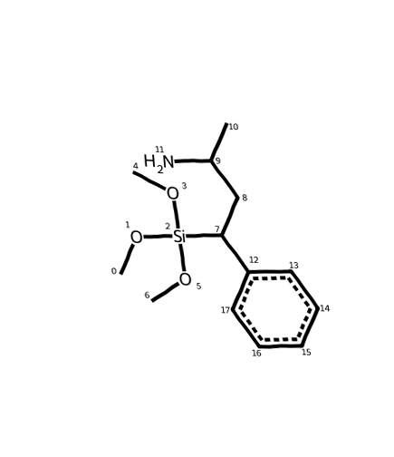 CO[Si](OC)(OC)C(CC(C)N)c1ccccc1